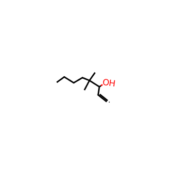 [CH]=CC(O)C(C)(C)CCCC